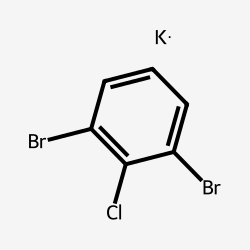 Clc1c(Br)cccc1Br.[K]